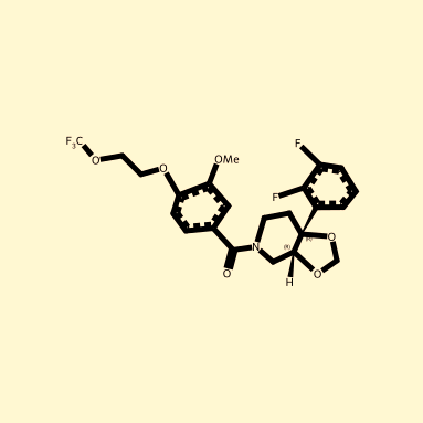 COc1cc(C(=O)N2CC[C@]3(c4cccc(F)c4F)OCO[C@@H]3C2)ccc1OCCOC(F)(F)F